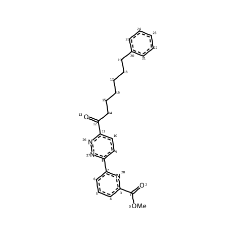 COC(=O)c1cccc(-c2ccc(C(=O)CCCCCCc3ccccc3)nn2)n1